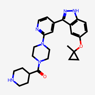 CC1(Oc2ccc3[nH]nc(-c4ccnc(N5CCN(C(=O)C6CCNCC6)CC5)c4)c3c2)CC1